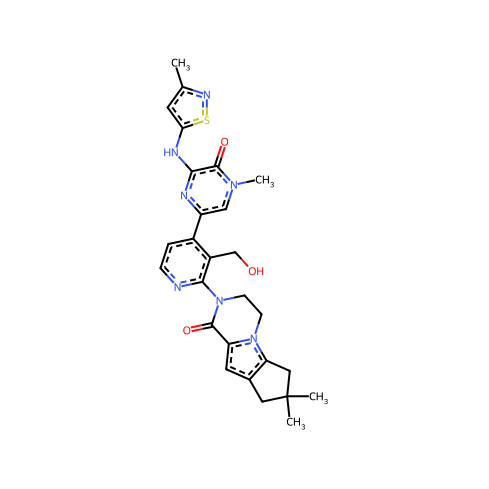 Cc1cc(Nc2nc(-c3ccnc(N4CCn5c(cc6c5CC(C)(C)C6)C4=O)c3CO)cn(C)c2=O)sn1